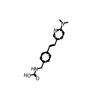 CN(C)c1ccc(C=Cc2ccc(CNC(=O)O)cc2)cn1